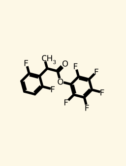 CC(C(=O)Oc1c(F)c(F)c(F)c(F)c1F)c1c(F)cccc1F